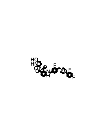 O=C1NC(O)CCC1N1C(=O)c2cccc(NCc3ccc(CN4CCN(c5ccc(F)cc5F)CC4)c(F)c3)c2C1=O